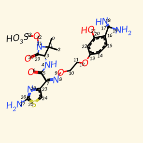 CC1(C)[C@H](NC(=O)/C(=N\OCCOc2ccc(C(=N)N)c(O)c2)c2csc(N)n2)C(=O)N1OS(=O)(=O)O